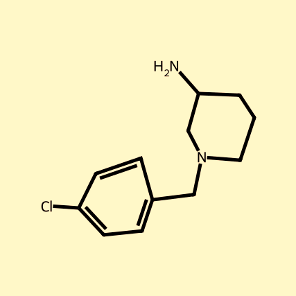 NC1CCCN(Cc2ccc(Cl)cc2)C1